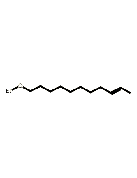 CC=CCCCCCCCCOCC